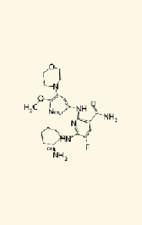 COc1ncc(Nc2nc(N[C@@H]3CCCC[C@@H]3N)c(F)cc2C(N)=O)cc1N1CCOCC1